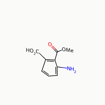 COC(=O)c1c(N)cccc1C(=O)O